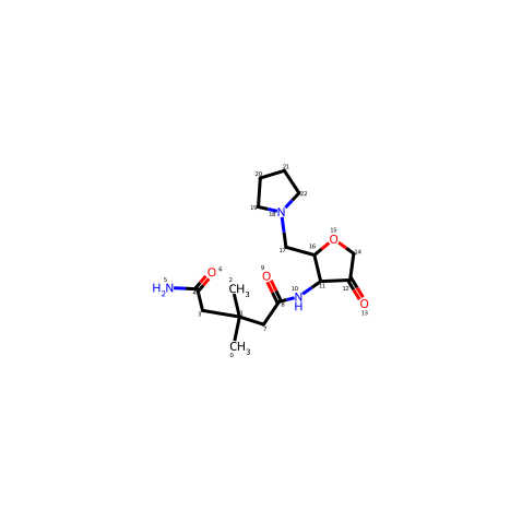 CC(C)(CC(N)=O)CC(=O)NC1C(=O)COC1CN1CCCC1